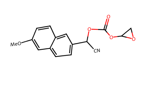 COc1ccc2cc(C(C#N)OC(=O)OC3CO3)ccc2c1